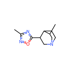 Cc1noc(C2CN3CCC2C(C)C3)n1